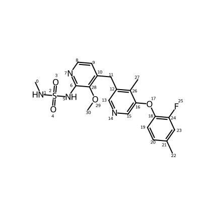 CNS(=O)(=O)Nc1nccc(Cc2cncc(Oc3ccc(C)cc3F)c2C)c1OC